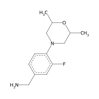 CC1CN(c2ccc(CN)cc2F)CC(C)O1